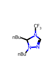 CCCCC1N(CCCC)N=CN1C(F)(F)F